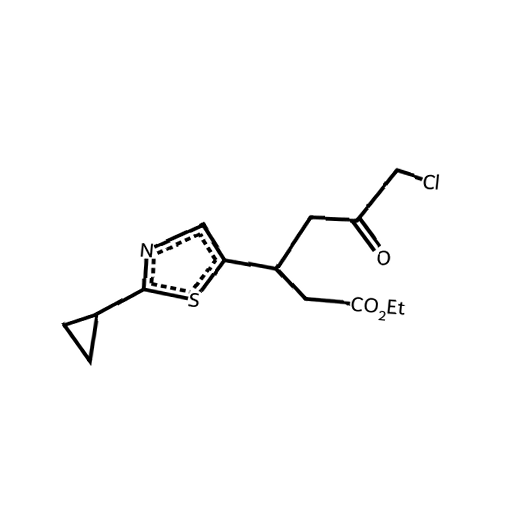 CCOC(=O)CC(CC(=O)CCl)c1cnc(C2CC2)s1